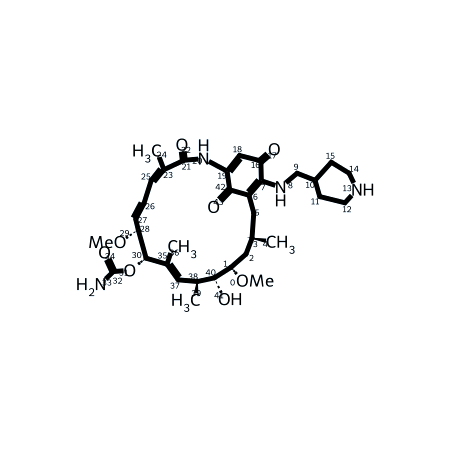 CO[C@H]1C[C@H](C)CC2=C(NCC3CCNCC3)C(=O)C=C(NC(=O)/C(C)=C\C=C\[C@@H](OC)[C@@H](OC(N)=O)/C(C)=C/[C@H](C)[C@H]1O)C2=O